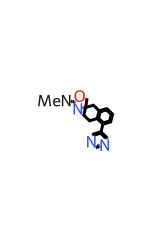 CNC1=NC2(CCc3c(cccc3-c3cncnc3)C2)CO1